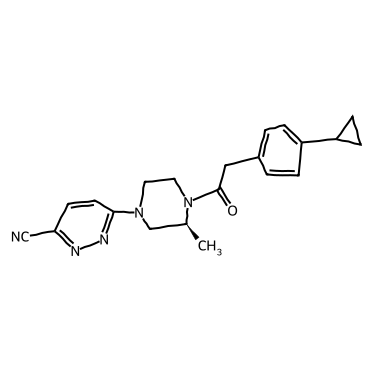 C[C@H]1CN(c2ccc(C#N)nn2)CCN1C(=O)Cc1ccc(C2CC2)cc1